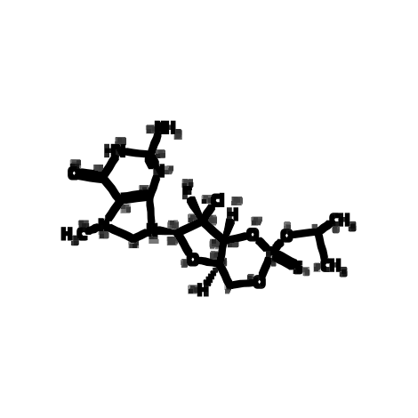 CC(C)OP1(=S)OC[C@H]2O[C@@H](N3CN(C)c4c3nc(N)[nH]c4=O)[C@](F)(Cl)[C@@H]2O1